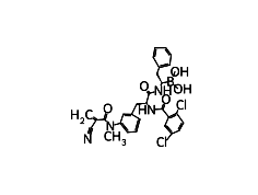 C=C(C#N)C(=O)N(C)c1cccc(C[C@H](NC(=O)c2cc(Cl)ccc2Cl)C(=O)N[C@@H](Cc2ccccc2)B(O)O)c1